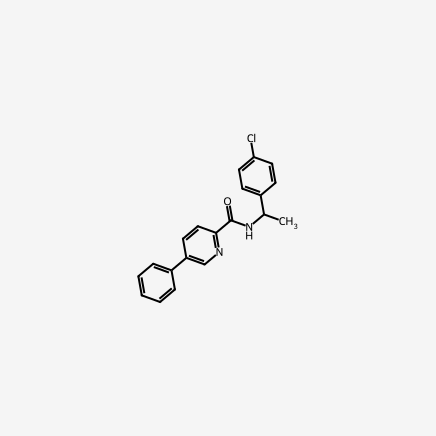 CC(NC(=O)c1ccc(-c2ccccc2)cn1)c1ccc(Cl)cc1